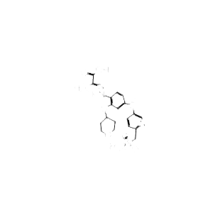 C/C(=N\Nc1ccc(Oc2ccc(CS(C)(=O)=O)nc2)cc1OC1CCOCC1)C(=O)O